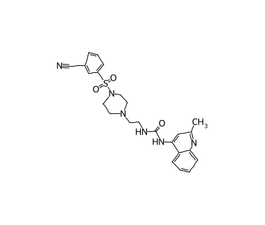 Cc1cc(NC(=O)NCCN2CCN(S(=O)(=O)c3cccc(C#N)c3)CC2)c2ccccc2n1